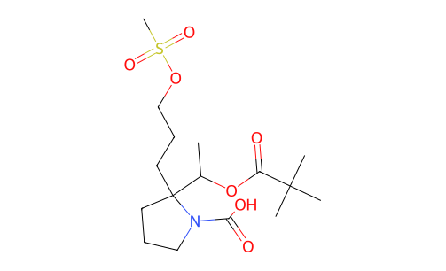 CC(OC(=O)C(C)(C)C)C1(CCCOS(C)(=O)=O)CCCN1C(=O)O